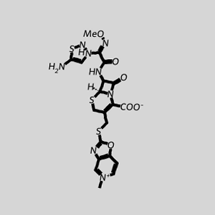 CO/N=C(/C(=O)NC1C(=O)N2C(C(=O)[O-])=C(CSc3nc4c[n+](C)ccc4o3)CS[C@@H]12)N1C=C(N)SN1